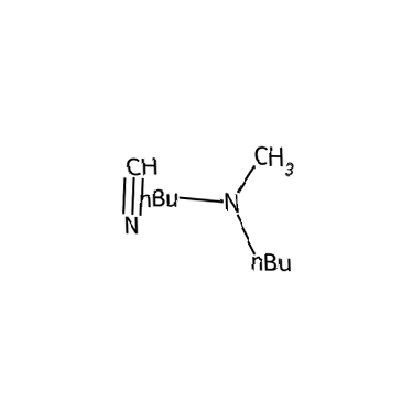 C#N.CCCCN(C)CCCC